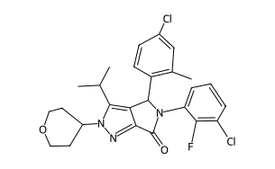 Cc1cc(Cl)ccc1C1c2c(nn(C3CCOCC3)c2C(C)C)C(=O)N1c1cccc(Cl)c1F